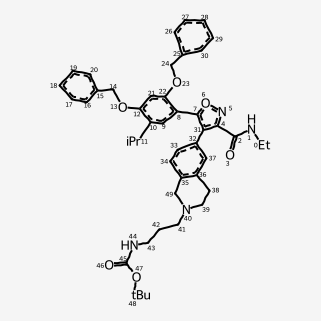 CCNC(=O)c1noc(-c2cc(C(C)C)c(OCc3ccccc3)cc2OCc2ccccc2)c1-c1ccc2c(c1)CCN(CCCNC(=O)OC(C)(C)C)C2